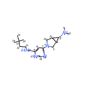 CN(C)C1C2CN(c3cc(NCCC(C)(C)C)ncn3)CC21